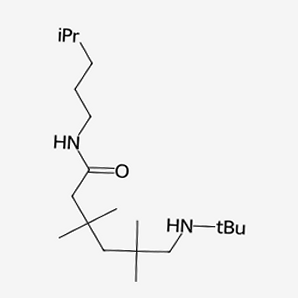 CC(C)CCCNC(=O)CC(C)(C)CC(C)(C)CNC(C)(C)C